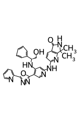 CC1(C)NC(=O)c2ccc(Nc3cc(N[C@H](CO)c4ccccc4)c(-c4nnc(-c5ccccn5)o4)cn3)nc21